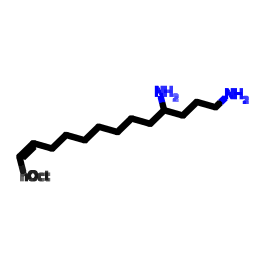 CCCCCCCC/C=C\CCCCCCCC(N)CCCN